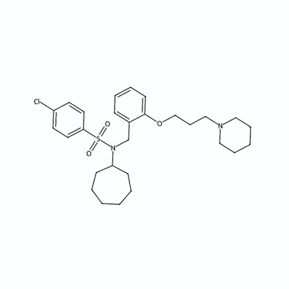 O=S(=O)(c1ccc(Cl)cc1)N(Cc1ccccc1OCCCN1CCCCC1)C1CCCCCC1